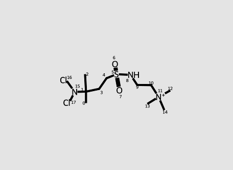 CC(C)(CCS(=O)(=O)NCC[N+](C)(C)C)N(Cl)Cl